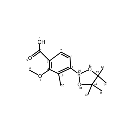 COc1c(C(=O)O)ccc(B2OC(C)(C)C(C)(C)O2)c1C